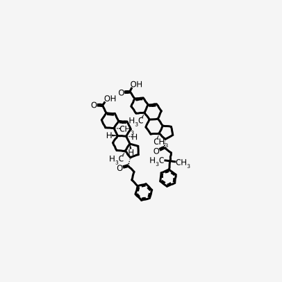 CC(C)(CC(=O)[C@H]1CCC2C3CC=C4C=C(C(=O)O)CC[C@]4(C)C3CC[C@@]21C)c1ccccc1.C[C@]12CC[C@H]3[C@@H](CC=C4C=C(C(=O)O)CC[C@@]43C)[C@@H]1CC[C@@H]2C(=O)CCc1ccccc1